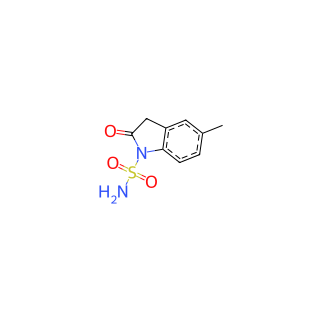 Cc1ccc2c(c1)CC(=O)N2S(N)(=O)=O